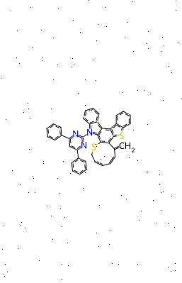 C=C1/C=C\C=C/CSc2c1c1sc3ccccc3c1c1c3ccccc3n(-c3nc(-c4ccccc4)cc(-c4ccccc4)n3)c21